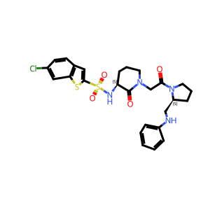 O=C1[C@@H](NS(=O)(=O)c2cc3ccc(Cl)cc3s2)CCCN1CC(=O)N1CCC[C@H]1CNc1ccccc1